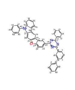 c1ccc(-c2cccc(-c3nc(-c4ccccc4)nc(-c4ccc5oc6cc7c(cc6c5c4)c4ccccc4n7-c4ccccc4)n3)c2)cc1